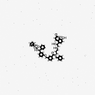 O=C(N[C@@H](c1ccccc1)c1cccc(OCc2cccc(C(=O)N(CCCNC[C@H](O)c3ccc(O)c4[nH]c(=O)ccc34)Cc3ccccc3)c2)c1)O[C@H]1CN2CCC1CC2